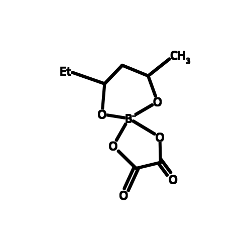 CCC1CC(C)O[B-]2(OC(=O)C(=O)O2)O1